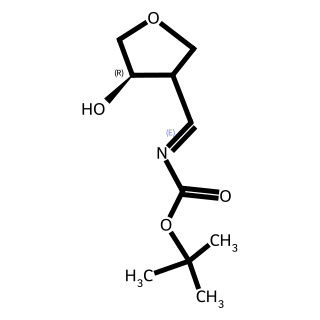 CC(C)(C)OC(=O)/N=C/C1COC[C@@H]1O